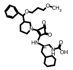 COCCCOC(c1ccccc1)C1CCCN(c2c(N[C@@H](CNC(=O)O)CC3CCCCC3)c(=O)c2=O)C1